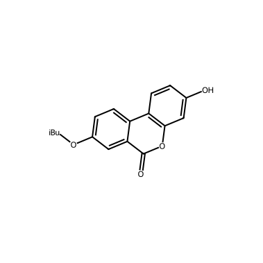 CCC(C)Oc1ccc2c(c1)c(=O)oc1cc(O)ccc12